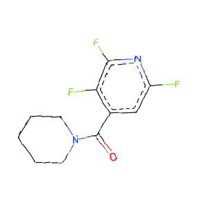 O=C(c1cc(F)nc(F)c1F)N1CCCCC1